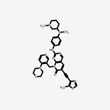 Cc1scnc1C#Cc1cc2cnc(Nc3ccc(N(C)C4CCCN(C)C4)cc3)nc2n(Cc2cnccc2N2CCOCC2)c1=O